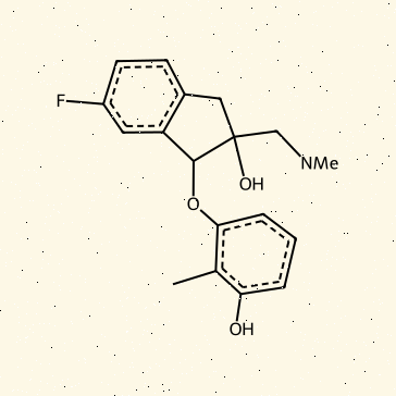 CNCC1(O)Cc2ccc(F)cc2C1Oc1cccc(O)c1C